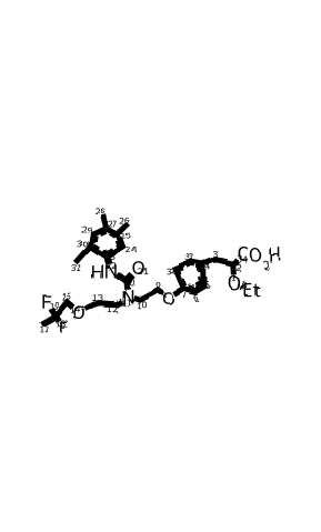 CCOC(Cc1ccc(OCCN(CCOCC(C)(F)F)C(=O)Nc2cc(C)c(C)cc2C)cc1)C(=O)O